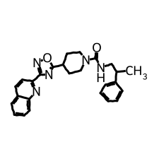 CC(CNC(=O)N1CCC(c2nc(-c3ccc4ccccc4n3)no2)CC1)c1ccccc1